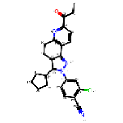 CCC(=O)c1ccc2c(n1)CCC1C2=NN(c2ccc(C#N)c(Cl)c2)C1C1CCCC1